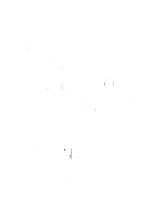 CO[C@@H]1CN(C)CC[C@@H]1C(C)C